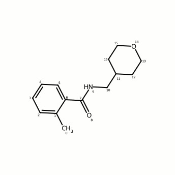 Cc1ccccc1C(=O)NCC1CCOCC1